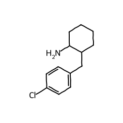 NC1CCCCC1Cc1ccc(Cl)cc1